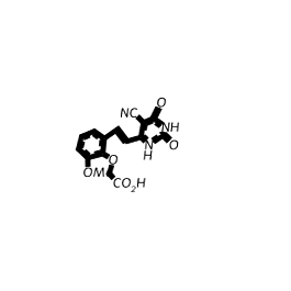 COc1cccc(C=Cc2[nH]c(=O)[nH]c(=O)c2C#N)c1OCC(=O)O